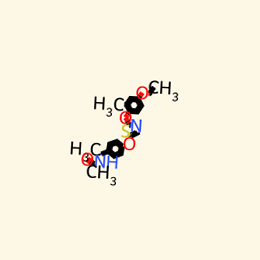 CCOc1ccc(Oc2ncc(Oc3ccc(C(C)NC(C)=O)cc3)s2)c(C)c1